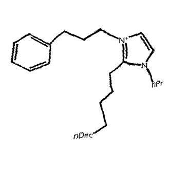 CCCCCCCCCCCCCCc1n(CCC)cc[n+]1CCCc1ccccc1